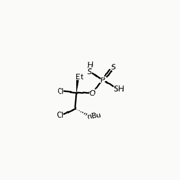 CCCC[C@H](Cl)[C@@](Cl)(CC)OP(=S)(S)S